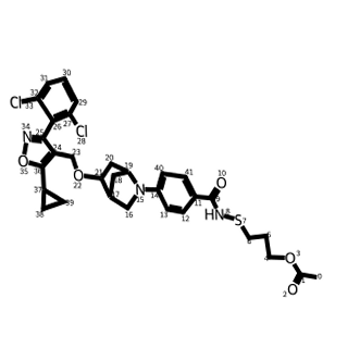 CC(=O)OCCCSNC(=O)c1ccc(N2CC3CC2CC3OCc2c(-c3c(Cl)cccc3Cl)noc2C2CC2)cc1